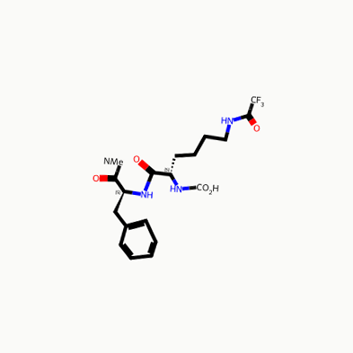 CNC(=O)[C@H](Cc1ccccc1)NC(=O)[C@H](CCCCNC(=O)C(F)(F)F)NC(=O)O